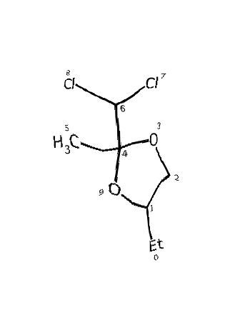 CCC1COC(C)(C(Cl)Cl)O1